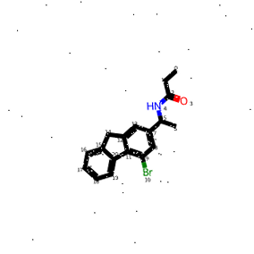 CCC(=O)NC(C)c1cc(Br)c2c(c1)Cc1ccccc1-2